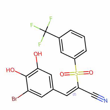 N#C/C(=C/c1cc(O)c(O)c(Br)c1)S(=O)(=O)c1cccc(C(F)(F)F)c1